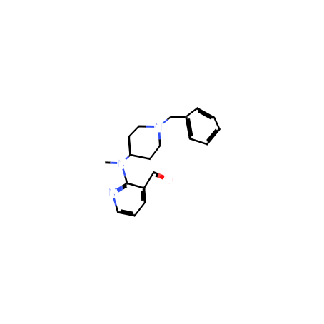 CN(c1ncccc1C=O)C1CCN(Cc2ccccc2)CC1